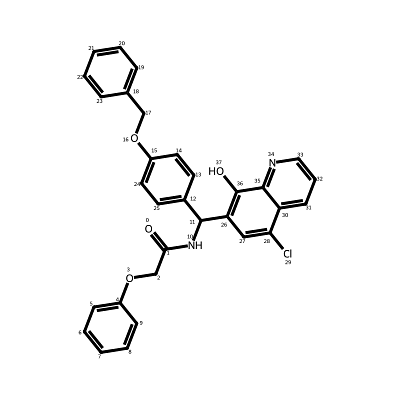 O=C(COc1ccccc1)NC(c1ccc(OCc2ccccc2)cc1)c1cc(Cl)c2cccnc2c1O